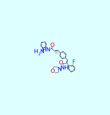 Nc1ccccc1NC(=O)/C=C/c1ccc(C=C(C(=O)NN2CCOCC2)c2ccccc2F)cc1